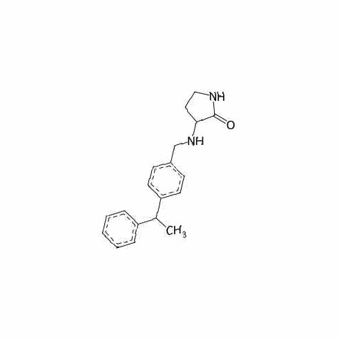 CC(c1ccccc1)c1ccc(CNC2CCNC2=O)cc1